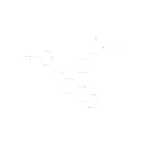 CCC(O)(CC)CCC1=CCC([C@H]2C(C(=O)Nc3cccc(C(C)(C)C)c3)CCCN2C(=O)c2c(C)cccc2F)C=C1